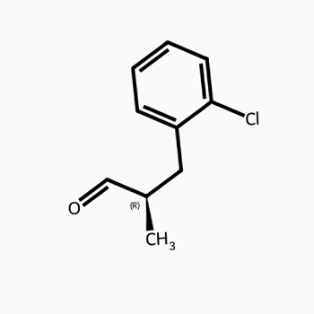 C[C@@H](C=O)Cc1ccccc1Cl